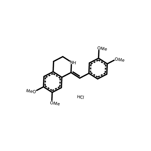 COc1ccc(C=C2NCCc3cc(OC)c(OC)cc32)cc1OC.Cl